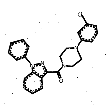 O=C(c1nn(-c2ccccc2)c2ccccc12)N1CCN(c2cccc(Cl)c2)CC1